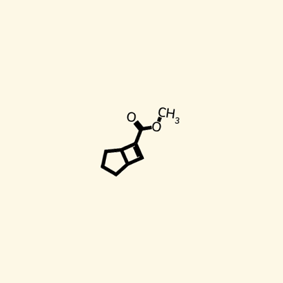 COC(=O)C1=CC2CCCC12